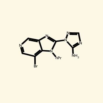 CCCn1c(-n2ncnc2N)nc2cncc(Br)c21